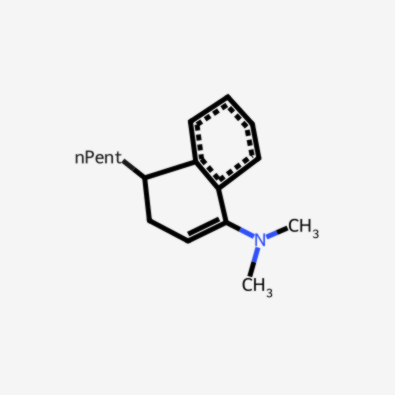 CCCCCC1CC=C(N(C)C)c2ccccc21